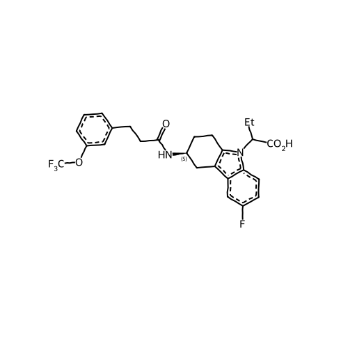 CCC(C(=O)O)n1c2c(c3cc(F)ccc31)C[C@@H](NC(=O)CCc1cccc(OC(F)(F)F)c1)CC2